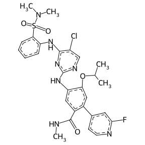 CNC(=O)c1cc(Nc2ncc(Cl)c(Nc3ccccc3S(=O)(=O)N(C)C)n2)c(OC(C)C)cc1-c1ccnc(F)c1